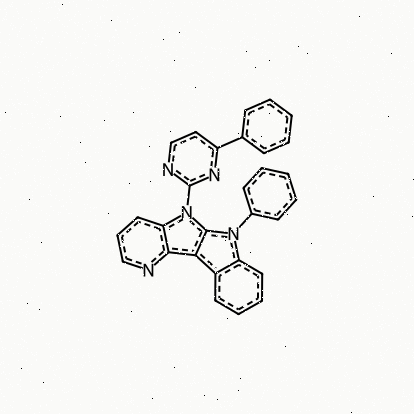 c1ccc(-c2ccnc(-n3c4cccnc4c4c5ccccc5n(-c5ccccc5)c43)n2)cc1